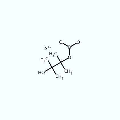 CC(C)(O)C(C)(C)OB([O-])[O-].[S+2]